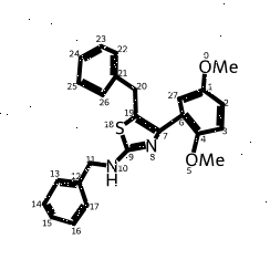 COc1ccc(OC)c(-c2nc(NCc3ccccc3)sc2Cc2ccccc2)c1